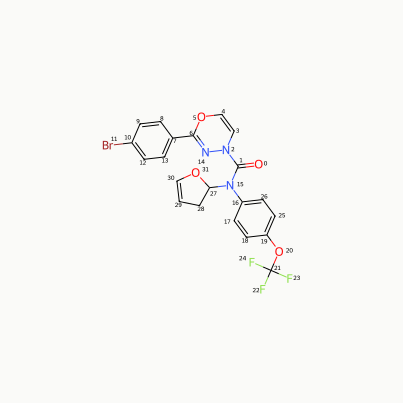 O=C(N1C=COC(c2ccc(Br)cc2)=N1)N(c1ccc(OC(F)(F)F)cc1)C1CC=CO1